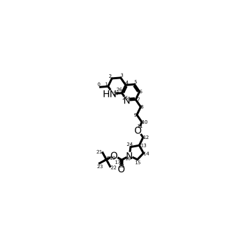 CC1CCc2ccc(CCCOCC3CCN(C(=O)OC(C)(C)C)C3)nc2N1